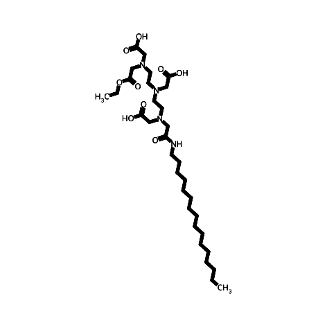 CCCCCCCCCCCCCCCCNC(=O)CN(CCN(CCN(CC(=O)O)CC(=O)OCC)CC(=O)O)CC(=O)O